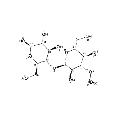 CCCCCCCCCCO[C@@H]1[C@@H](O)[C@@H](O[C@H]2[C@H](O)[C@@H](O)[C@H](O)O[C@@H]2CO)O[C@H](CO)[C@H]1O